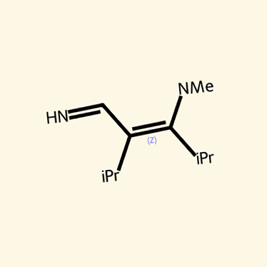 CN/C(=C(\C=N)C(C)C)C(C)C